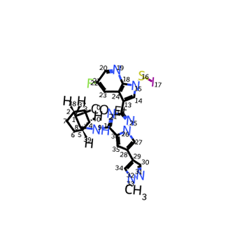 CCOC(=O)[C@H]1[C@H]2CC[C@H](CC2)[C@@H]1Nc1nc(-c2cn(SI)c3ncc(F)cc23)nn2cc(-c3cnn(C)c3)cc12